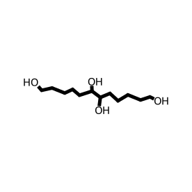 OCCCCCC(O)C(O)CCCCCO